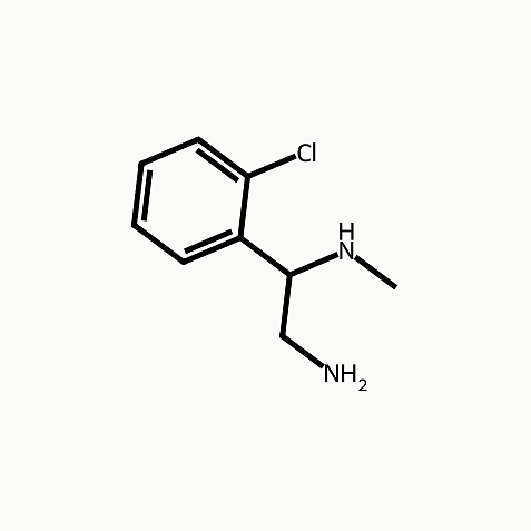 CNC(CN)c1ccccc1Cl